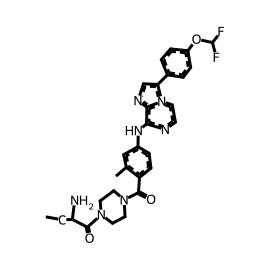 CCC(N)C(=O)N1CCN(C(=O)c2ccc(Nc3nccn4c(-c5ccc(OC(F)F)cc5)cnc34)cc2C)CC1